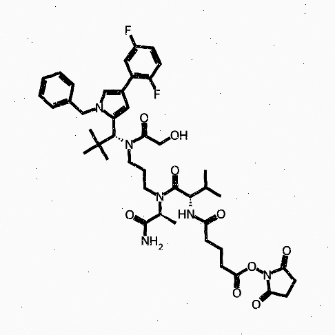 CC(C)[C@H](NC(=O)CCCC(=O)ON1C(=O)CCC1=O)C(=O)N(CCCN(C(=O)CO)[C@@H](c1cc(-c2cc(F)ccc2F)cn1Cc1ccccc1)C(C)(C)C)[C@@H](C)C(N)=O